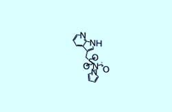 O=[C]N(n1cccc1)S(=O)(=O)Cc1c[nH]c2ncccc12